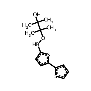 CC(C)(O)C(C)(C)OBc1ccc(-c2cccs2)s1